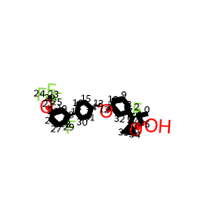 CC(F)(C(=O)O)[C@H](c1cccc(OC[C@H]2CC[C@H](c3cc(OC(F)(F)F)ccc3F)CC2)c1)C1CC1